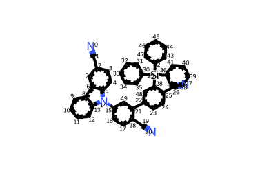 N#Cc1ccc2c(c1)c1ccccc1n2-c1ccc(C#N)c(-c2ccc(C#N)c([Si](c3ccccc3)(c3ccccc3)c3ccccc3)c2)c1